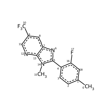 Cc1ccc(-c2nc3cc(C(F)(F)F)cnc3n2C)c(F)c1